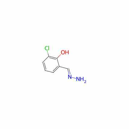 NN=Cc1cccc(Cl)c1O